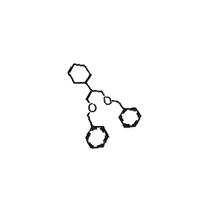 c1ccc(COCC(COCc2ccccc2)C2CCCCC2)cc1